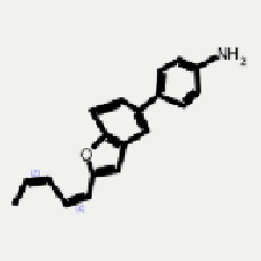 C/C=C\C=C/c1cc2cc(-c3ccc(N)cc3)ccc2o1